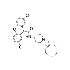 O=C(NC1CCN(C/C2=C/CCCCCC2)CC1)C1c2cc(Cl)ccc2Oc2ccc(Cl)cc21